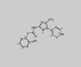 Cc1sc(NC(=O)Cc2ccccc2C(C)C)nc1C1=CCNC=C1